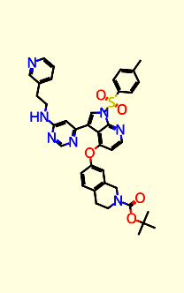 Cc1ccc(S(=O)(=O)n2cc(-c3cc(NCCc4cccnc4)ncn3)c3c(Oc4ccc5c(c4)CN(C(=O)OC(C)(C)C)CC5)ccnc32)cc1